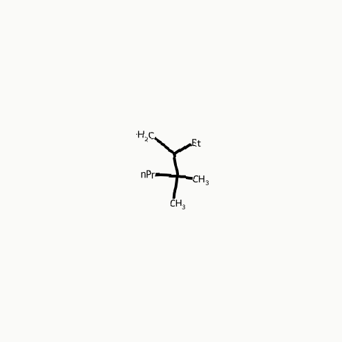 [CH2]CC([CH2])C(C)(C)CCC